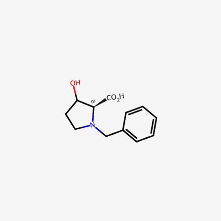 O=C(O)[C@@H]1C(O)CCN1Cc1ccccc1